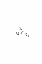 CCOCOc1ccc2c(c1)Sc1ccccc1C2=C1CCN(C)CC1